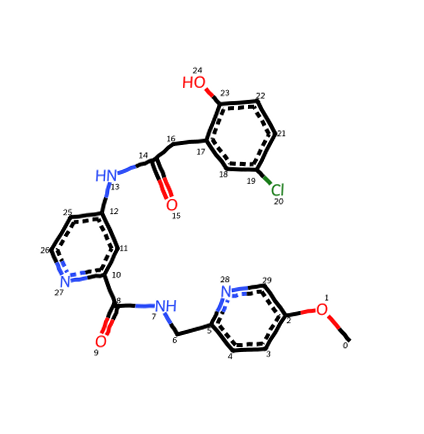 COc1ccc(CNC(=O)c2cc(NC(=O)Cc3cc(Cl)ccc3O)ccn2)nc1